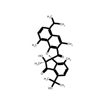 Cc1cc2c(C(C)C)ccc(C)c2c2c1C(=O)[C@@]1(O2)c2c(C)ccc(C(C)(C)O)c2C(=O)[C@@]1(C)O